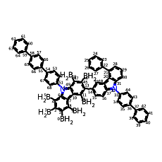 Bc1c(B)c(B)c2c(c1B)c1c(B)c(-c3ccc4c(c3)c3c(-c5ccccc5)cccc3n4-c3ccc(-c4ccccc4)cc3)c(B)c(B)c1n2-c1ccc(-c2ccc(-c3ccccc3)cc2)cc1